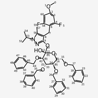 COc1cc(F)c(Cc2c(O[C@]3(O)O[C@H](COCc4ccccc4)[C@@H](OCc4ccccc4)[C@H](OCc4ccccc4)[C@H]3OCc3ccccc3)nn(C(C)C)c2C)c(F)c1